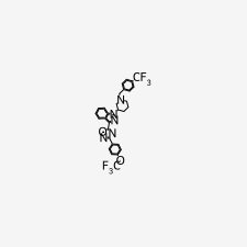 FC(F)(F)Oc1ccc(-c2noc(-c3nn(C4CCCN(Cc5ccc(C(F)(F)F)cc5)C4)c4ccccc34)n2)cc1